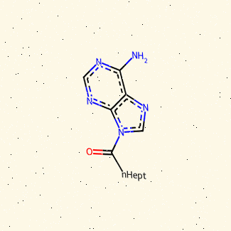 CCCCCCCC(=O)n1cnc2c(N)ncnc21